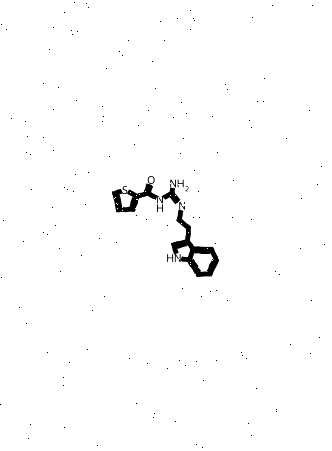 NC(=NCCc1c[nH]c2ccccc12)NC(=O)c1cccs1